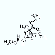 CCOC(=O)[C@]1(C)C[C@@H](NBOC)C[C@H]1CC